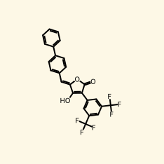 O=C1O/C(=C\c2ccc(-c3ccccc3)cc2)C(O)=C1c1cc(C(F)(F)F)cc(C(F)(F)F)c1